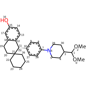 COC(OC)C1CCN(c2ccc([C@H]3c4ccc(O)cc4CCC34CCCCC4)cc2)CC1